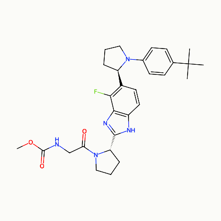 COC(=O)NCC(=O)N1CCC[C@H]1c1nc2c(F)c([C@H]3CCCN3c3ccc(C(C)(C)C)cc3)ccc2[nH]1